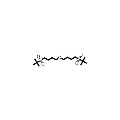 CC(C)(C)S(=O)(=O)CCCCOCCCCS(=O)(=O)C(C)(C)C